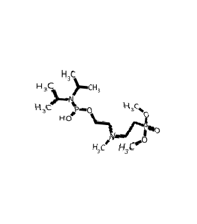 COP(=O)(CCN(C)CCOP(O)N(C(C)C)C(C)C)OC